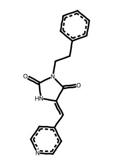 O=C1N/C(=C\c2ccncc2)C(=O)N1CCc1ccccc1